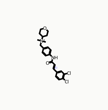 C[N+](C)(Cc1ccc(NC(=O)/C=C/c2ccc(Cl)c(Cl)c2)cc1)C1CCOCC1